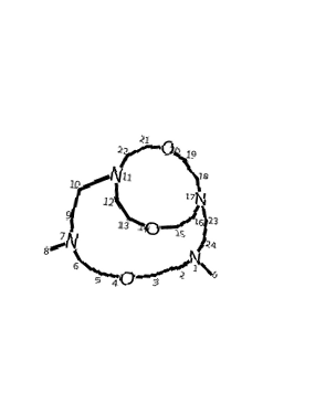 CN1CCOCCN(C)CCN2CCOCCN(CCOCC2)CC1